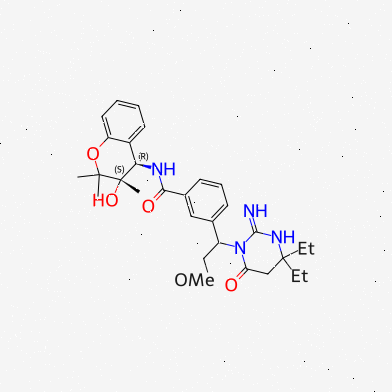 CCC1(CC)CC(=O)N(C(COC)c2cccc(C(=O)N[C@@H]3c4ccccc4OC(C)(C)[C@@]3(C)O)c2)C(=N)N1